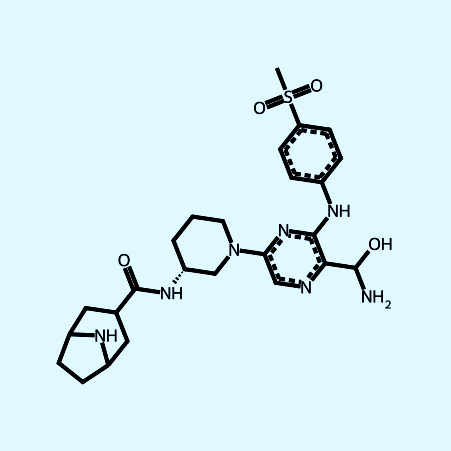 CS(=O)(=O)c1ccc(Nc2nc(N3CCC[C@@H](NC(=O)C4CC5CCC(C4)N5)C3)cnc2C(N)O)cc1